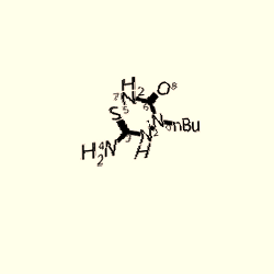 CCCCN(NC(N)=S)C(N)=O